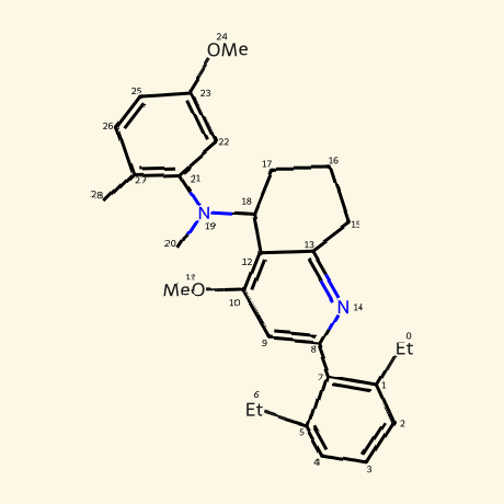 CCc1cccc(CC)c1-c1cc(OC)c2c(n1)CCCC2N(C)c1cc(OC)ccc1C